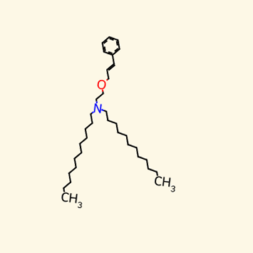 CCCCCCCCCCCCN(CCCCCCCCCCCC)CCOCC=Cc1ccccc1